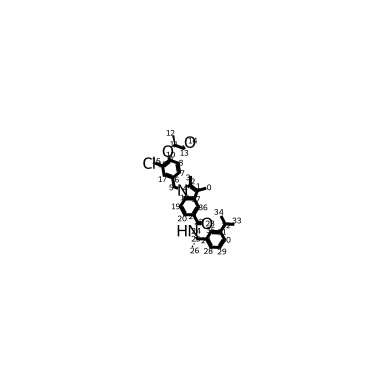 Cc1c(C)n(Cc2ccc(O[C@@H](C)C=O)c(Cl)c2)c2ccc(C(=O)N[C@@H](C)c3cccc(C(C)C)c3)cc12